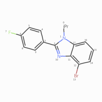 CC(C)n1c(-c2ccc(F)cc2)nc2c(Br)cccc21